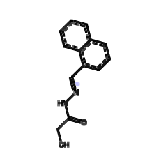 O=C(CO)N/N=C/c1cccc2ccccc12